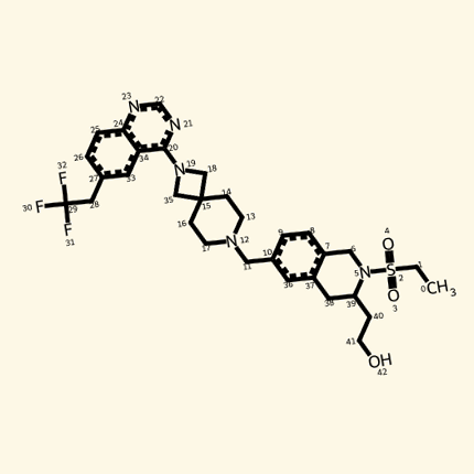 CCS(=O)(=O)N1Cc2ccc(CN3CCC4(CC3)CN(c3ncnc5ccc(CC(F)(F)F)cc35)C4)cc2CC1CCO